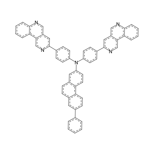 c1ccc(-c2ccc3c(ccc4cc(N(c5ccc(-c6cc7cnc8ccccc8c7cn6)cc5)c5ccc(-c6cc7cnc8ccccc8c7cn6)cc5)ccc43)c2)cc1